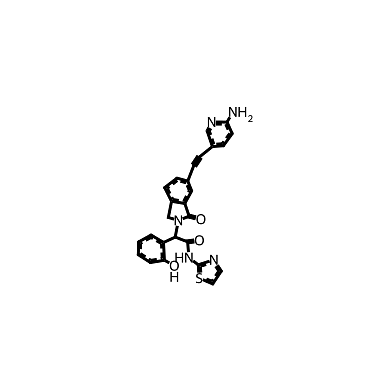 Nc1ccc(C#Cc2ccc3c(c2)C(=O)N(C(C(=O)Nc2nccs2)c2ccccc2O)C3)cn1